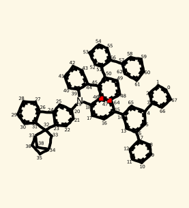 c1ccc(-c2cc(-c3ccccc3)cc(-c3ccc(N(c4ccc5c(c4)-c4ccccc4C54CC5CCC4C5)c4ccccc4-c4ccccc4-c4ccccc4-c4ccccc4)cc3)c2)cc1